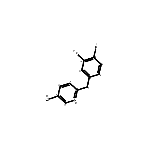 Fc1ccc(Cc2ccc(Cl)cn2)cc1F